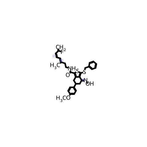 C=C(F)/C=C\C=C(/C)CCNC(=O)c1sc(SCc2ccccc2)c2c1CC(c1ccc(OC)cc1)C/C2=N\O